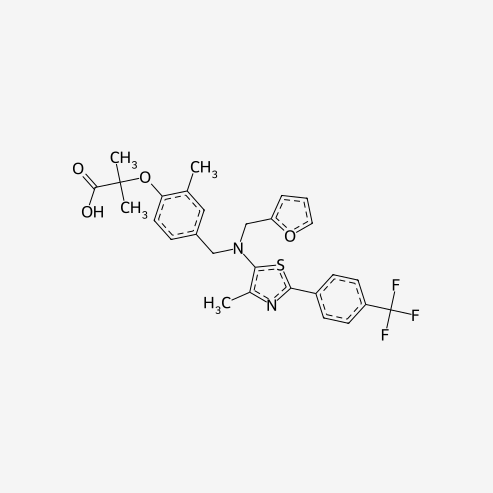 Cc1cc(CN(Cc2ccco2)c2sc(-c3ccc(C(F)(F)F)cc3)nc2C)ccc1OC(C)(C)C(=O)O